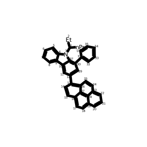 CCCC(CC)n1c2ccccc2c2cc(-c3ccc4ccc5cccc6ccc3c4c56)cc(-c3ccccc3)c21